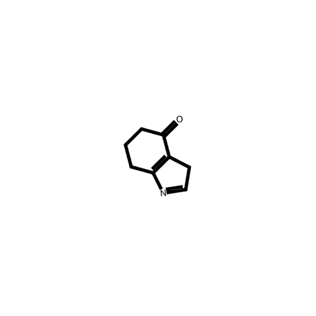 O=C1CCCC2=C1CC=N2